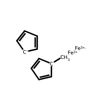 C[c-]1cccc1.[Fe+2].[Fe+3].c1cc[cH-]c1